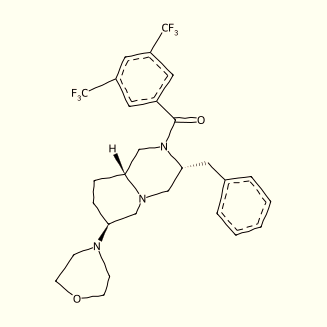 O=C(c1cc(C(F)(F)F)cc(C(F)(F)F)c1)N1C[C@H]2CC[C@H](N3CCOCC3)CN2C[C@H]1Cc1ccccc1